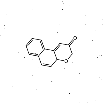 O=C1C=C2c3ccccc3C=CC2OC1